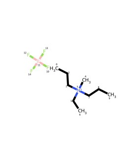 CCC[N+](C)(CC)CCC.F[B-](F)(F)F